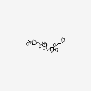 COc1cnc(Nc2ccnc(NCC3CCN(C(C)=O)CC3)c2)cc1OCCCN1CCCC1